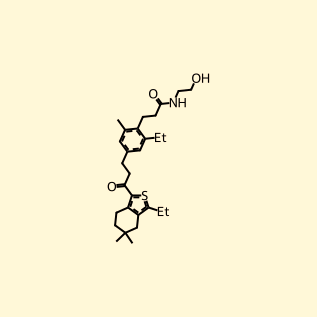 CCc1cc(CCC(=O)c2sc(CC)c3c2CCC(C)(C)C3)cc(C)c1CCC(=O)NCCO